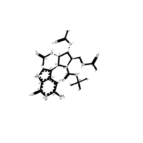 CC(=O)OC[C@@H]1[C@@H](OC(C)=O)[C@@H](OC(C)=O)[C@H](c2c[nH]c3c(=O)[nH]c(N)cc23)N1C(=O)OC(C)(C)C